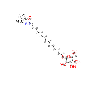 CC(C)C(=O)NCCCCCCCCCCCCCCCO[C@@H]1O[C@H](CO)[C@@H](O)[C@H](O)[C@H]1O